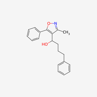 Cc1noc(-c2ccccc2)c1C(O)CCCc1ccccc1